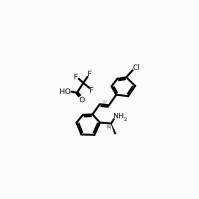 C[C@H](N)c1ccccc1/C=C/c1ccc(Cl)cc1.O=C(O)C(F)(F)F